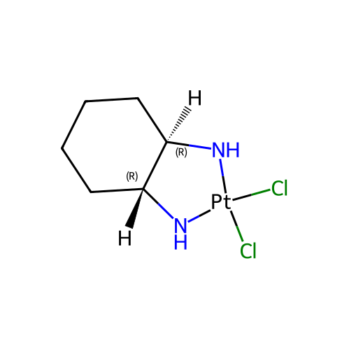 [Cl][Pt]1([Cl])[NH][C@@H]2CCCC[C@H]2[NH]1